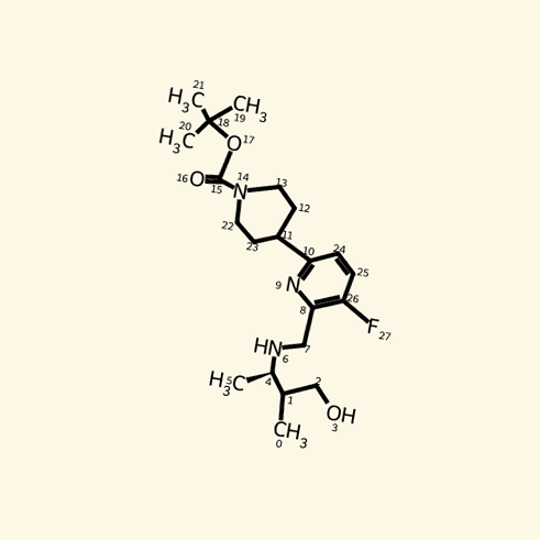 CC(CO)[C@@H](C)NCc1nc(C2CCN(C(=O)OC(C)(C)C)CC2)ccc1F